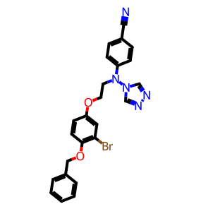 N#Cc1ccc(N(CCOc2ccc(OCc3ccccc3)c(Br)c2)n2cnnc2)cc1